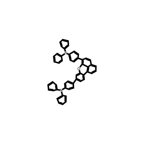 c1ccc(N(c2ccccc2)c2ccc(-c3ccc4c(c3)Oc3c(-c5ccc(N(c6ccccc6)c6ccccc6)cc5)ccc5cccc-4c35)cc2)cc1